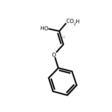 O=C(O)/C(O)=C/Oc1ccccc1